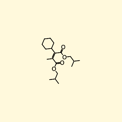 C/C(C(=O)OCC(C)C)=C(/C(=O)OCC(C)C)C1CCCCC1